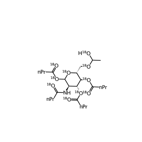 CCCC(=[18O])N[C@H]1C([18O]C(=[18O])CCC)[18O][C@H](C[18O]C(C)[18OH])[C@@H]([18O]C(=[18O])CCC)[C@@H]1[18O]C(=[18O])CCC